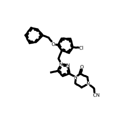 Cc1cc(N2CCN(CC#N)CC2=O)nn1Cc1cc(Cl)ccc1OCc1ccccc1